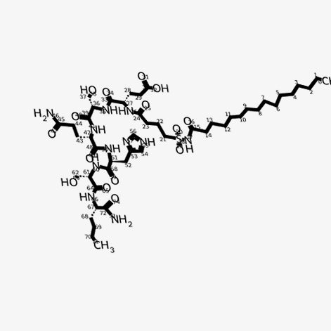 CCCCCCCCCCCCCCCC(=O)NS(=O)(=O)CCCC(=O)N[C@@H](CCC(=O)O)C(=O)N[C@@H](CO)C(=O)N[C@@H](CCC(N)=O)C(=O)N[C@@H](Cc1c[nH]cn1)C(=O)N[C@@H](CO)C(=O)N[C@@H](CCCC)C(N)=O